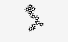 CC1(C)c2ccccc2-c2ccc(-c3nc(-c4ccccc4)nc(-c4cccc(-c5ccc6c(c5)Oc5c(ccc7c5-c5ccccc5C7(c5ccccc5)c5ccccc5)O6)c4)n3)cc21